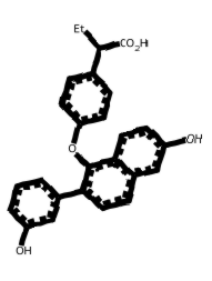 CCC(C(=O)O)c1ccc(Oc2c(-c3cccc(O)c3)ccc3cc(O)ccc23)cc1